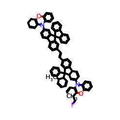 C/C=C\C1=C(CCI)Oc2ccccc2N1C1=CC2C(C=C1)c1ccc(/C=C/c3ccc4c(c3)C3(c5ccccc5-c5ccccc53)c3cc(N5C6=C(CCC=C6)Oc6ccccc65)ccc3-4)cc1C2(c1ccccc1)C1C=CC=CC1C